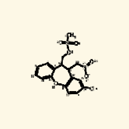 CS(=O)(=O)OCC1c2ccccc2Oc2ccc(Cl)cc2C1C[N+](=O)[O-]